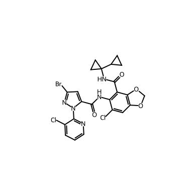 O=C(NC1(C2CC2)CC1)c1c(NC(=O)c2cc(Br)nn2-c2ncccc2Cl)c(Cl)cc2c1OCO2